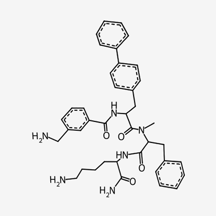 CN(C(=O)C(Cc1ccc(-c2ccccc2)cc1)NC(=O)c1cccc(CN)c1)C(Cc1ccccc1)C(=O)NC(CCCCN)C(N)=O